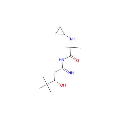 CC(C)(NC1CC1)C(=O)NC(=N)CC(O)C(C)(C)C